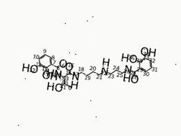 C[C@@H](O)[C@H](NC(=O)c1cccc(O)c1O)C(=O)NCCCCNCCCNC(=O)c1cccc(O)c1O